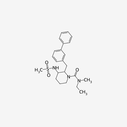 CCN(C)C(=O)N1CCCC(NS(C)(=O)=O)C1Cc1cccc(-c2ccccc2)c1